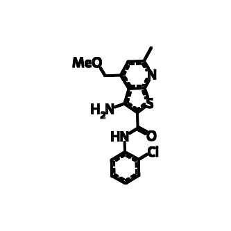 COCc1cc(C)nc2sc(C(=O)Nc3ccccc3Cl)c(N)c12